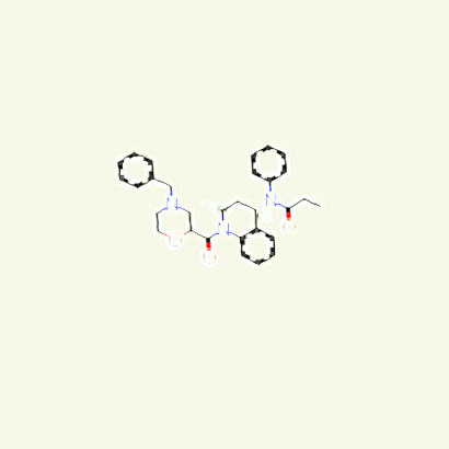 CCC(=O)N(c1ccccc1)[C@H]1C[C@@H](C)N(C(=O)C2CN(Cc3ccccc3)CCO2)c2ccccc21